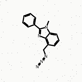 Cn1c(-c2ccccc2)nc2c(CN=[N+]=[N-])cccc21